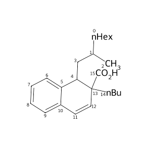 CCCCCCC(C)CC1c2ccccc2C=CC1(CCCC)C(=O)O